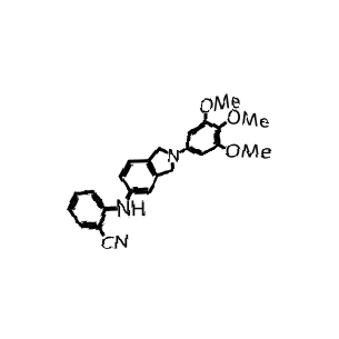 COc1cc(N2Cc3ccc(Nc4ccccc4C#N)cc3C2)cc(OC)c1OC